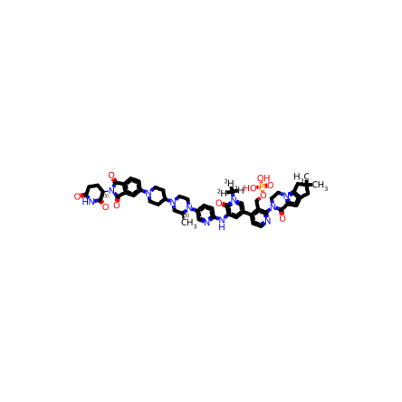 [2H]C([2H])([2H])n1cc(-c2ccnc(N3CCn4c(cc5c4CC(C)(C)C5)C3=O)c2COP(=O)(O)O)cc(Nc2ccc(N3CCN(C4CCN(c5ccc6c(c5)C(=O)N([C@H]5CCC(=O)NC5=O)C6=O)CC4)C[C@@H]3C)cn2)c1=O